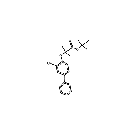 CC(C)(C)OC(=O)C(C)(C)Oc1ccc(-c2ccccc2)cc1N